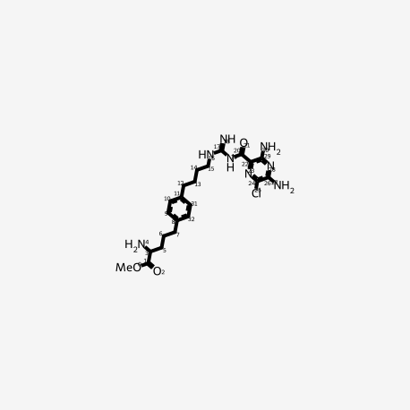 COC(=O)C(N)CCCc1ccc(CCCCNC(=N)NC(=O)c2nc(Cl)c(N)nc2N)cc1